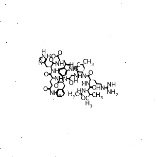 CC(=O)N[C@H](C(=O)N[C@@H](CCCNC(=N)N)C(=O)N[C@@H](CC(C)C)C(=O)NCC(=O)N[C@@H](Cc1ccccc1)C(=O)N[C@@H](CCC(N)=O)C(=O)N[C@@H](Cc1c[nH]cn1)C(=O)N[C@@H](Cc1c[nH]c2ccccc12)C(=O)O)C(C)C